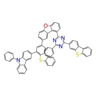 c1ccc(-c2nc(-c3ccc4c(c3)sc3ccccc34)nc(-c3cccc4oc5ccc(-c6cc(-c7ccc8c(c7)c7ccccc7n8-c7ccccc7)c7sc8ccccc8c7c6)cc5c34)n2)cc1